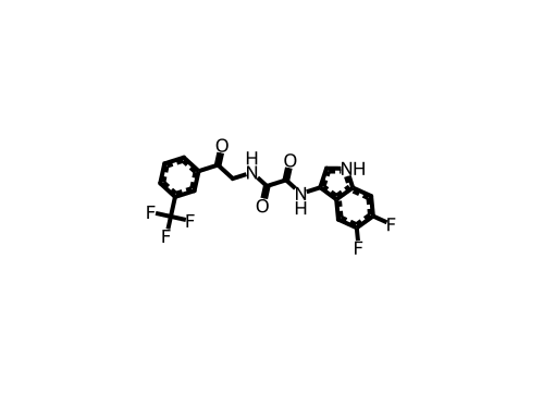 O=C(NCC(=O)c1cccc(C(F)(F)F)c1)C(=O)Nc1c[nH]c2cc(F)c(F)cc12